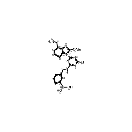 CCc1nc(NCc2cccc(B(O)O)c2)nc(-n2c(OC)nc3c(CN)cccc32)n1